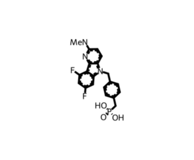 CNc1ccc2c(n1)c1c(F)cc(F)cc1n2Cc1ccc(CP(=O)(O)O)cc1